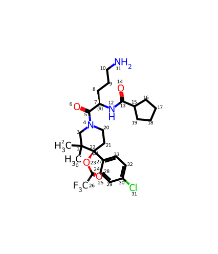 CC1(C)CN(C(=O)[C@@H](CCCN)NC(=O)C2CCCC2)CC[C@]1(OC(=O)C(F)(F)F)c1ccc(Cl)cc1